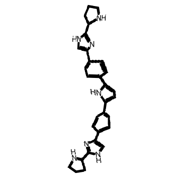 c1cc(-c2ccc(-c3ccc(-c4c[nH]c(C5CCCN5)n4)cc3)[nH]2)ccc1-c1c[nH]c(C2CCCN2)n1